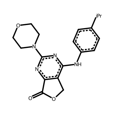 CC(C)c1ccc(Nc2nc(N3CCOCC3)nc3c2COC3=O)cc1